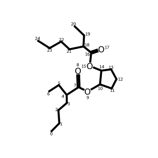 CCCCC(CC)C(=O)OC1CCCC1OC(=O)C(CC)CCCC